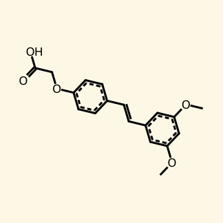 COc1cc(/C=C/c2ccc(OCC(=O)O)cc2)cc(OC)c1